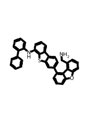 NCc1cccc2oc3cccc(-c4ccc5c(c4)sc4c(Nc6ccccc6-c6ccccc6)cccc45)c3c12